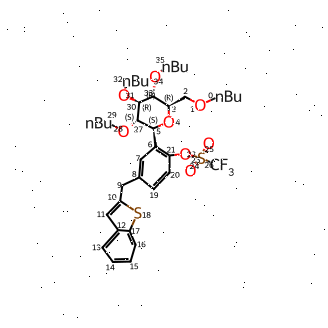 CCCCOC[C@H]1O[C@@H](c2cc(Cc3cc4ccccc4s3)ccc2OS(=O)(=O)C(F)(F)F)[C@H](OCCCC)[C@@H](OCCCC)[C@@H]1OCCCC